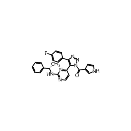 C[C@H](Nc1nccc(-c2c(-c3ccc(F)cc3)nnn2C(=O)c2cc[nH]c2)n1)c1ccccc1